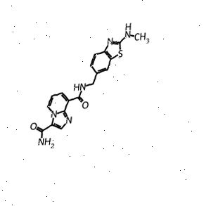 CNc1nc2ccc(CNC(=O)c3cccn4c(C(N)=O)cnc34)cc2s1